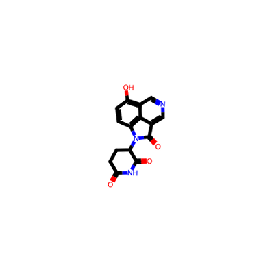 O=C1CCC(N2C(=O)c3cncc4c(O)ccc2c34)C(=O)N1